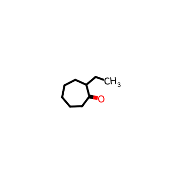 CCC1CCCCCC1=O